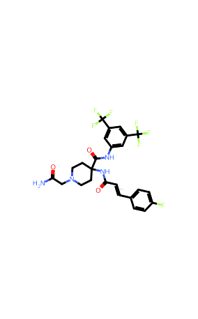 NC(=O)CN1CCC(NC(=O)/C=C/c2ccc(F)cc2)(C(=O)Nc2cc(C(F)(F)F)cc(C(F)(F)F)c2)CC1